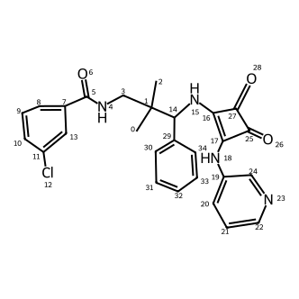 CC(C)(CNC(=O)c1cccc(Cl)c1)C(Nc1c(Nc2cccnc2)c(=O)c1=O)c1ccccc1